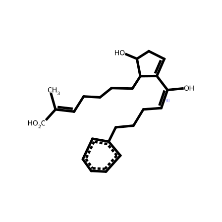 CC(=CCCCCC1C(/C(O)=C\CCCc2ccccc2)=CCC1O)C(=O)O